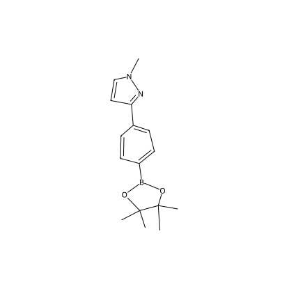 Cn1ccc(-c2ccc(B3OC(C)(C)C(C)(C)O3)cc2)n1